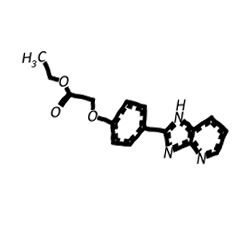 CCOC(=O)COc1ccc(-c2nc3ncccc3[nH]2)cc1